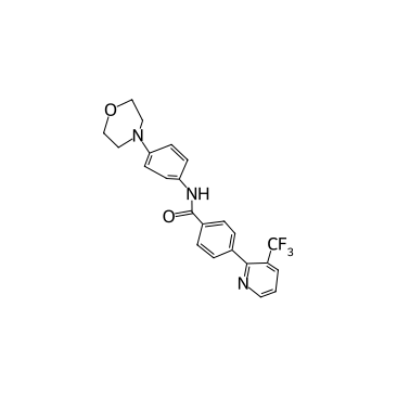 O=C(Nc1ccc(N2CCOCC2)cc1)c1ccc(-c2ncccc2C(F)(F)F)cc1